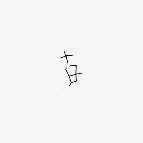 CC12CC(N)C1CN(C(C)(C)C)C2